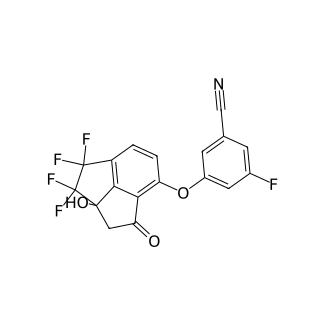 N#Cc1cc(F)cc(Oc2ccc3c4c2C(=O)CC4(O)C(F)(F)C3(F)F)c1